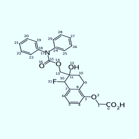 O=C(O)COc1cccc2c1CCC(O)(COC(=O)N(c1ccccc1)c1ccccc1)C2F